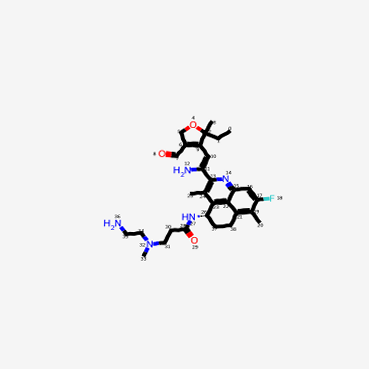 CCC1(C)OCC(C=O)=C1/C=C(\N)c1nc2cc(F)c(C)c3c2c(c1C)[C@@H](NC(=O)CCN(C)CCN)CC3